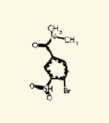 CN(C)C(=O)c1ccc(Br)c([SH](=O)=O)c1